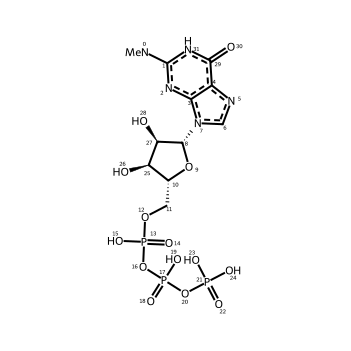 CNc1nc2c(ncn2[C@@H]2O[C@H](COP(=O)(O)OP(=O)(O)OP(=O)(O)O)[C@@H](O)[C@H]2O)c(=O)[nH]1